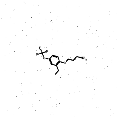 CCc1cc(OC(F)(F)F)ccc1OCCCN